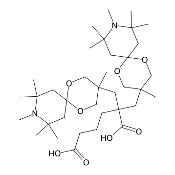 CN1C(C)(C)CC2(CC1(C)C)OCC(C)(CC(CCCC(=O)O)(CC1(C)COC3(CC(C)(C)N(C)C(C)(C)C3)OC1)C(=O)O)CO2